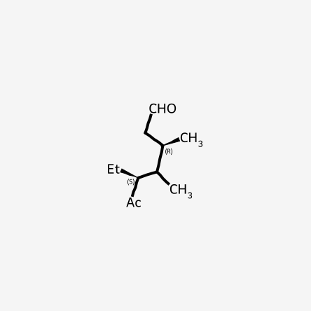 CC[C@H](C(C)=O)C(C)[C@H](C)CC=O